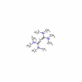 CN(C)C(=C=C(N(C)C)N(C)C)N(C)C